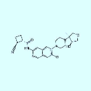 C[C@]1(N2CCN(c3cc4cc(NC(=O)[C@H]5CC[C@@H]5C#N)ncc4cc3Cl)CC2)COC[C@H]1O